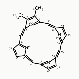 CC1=C(C)C2=NC1=CC1=NC(=CC3=NC(=CC4=NC(=C2)C=C4)C=C3)C=C1